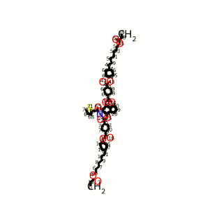 C=CC(=O)OCCCCCCCc1ccc(OC(=O)C2CCC(C(=O)Oc3c4ccccc4c(OC(=O)C4CCC(C(=O)Oc5ccc(CCCCCCCOC(=O)C=C)cc5)CC4)c4oc(-c5cccs5)nc34)CC2)cc1